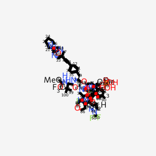 COC(=O)N[C@H](C(=O)N[C@@H](Cc1ccc(C#Cc2cnc(N3CC4CCC(C3)N4C3COC3)nc2)cc1)[C@H](CN(Cc1c(F)cc(-c2ccn(C(F)F)n2)cc1F)NC(=O)[C@@H](NC(=O)OC)C(C)(C)C(F)(F)F)OC(=O)CC(C)(C)c1c(CC(=O)NC2(C(=O)O)CCOCC2)cc(C)cc1OP(=O)(O)O)C(C)(C)C(F)(F)F